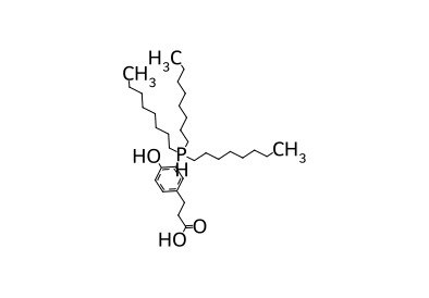 CCCCCCCC[PH](CCCCCCCC)(CCCCCCCC)c1cc(CCC(=O)O)ccc1O